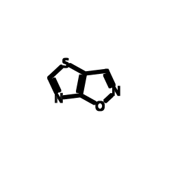 c1nc2oncc2s1